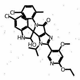 CCOc1cc(OC)c(-c2nc3c(n2C(C)C)C2(c4ccc(Cl)cc4NC2O)N(c2cc(Cl)ccc2C)C3=O)cn1